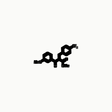 COC(=O)/C(=C\c1ccc(C(F)(F)F)cc1)C(=O)c1cccc(OC)c1